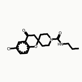 CCCNC(=O)N1CCC2(CC1)CC(=O)c1cc(Cl)ccc1O2